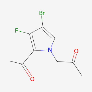 CC(=O)Cn1cc(Br)c(F)c1C(C)=O